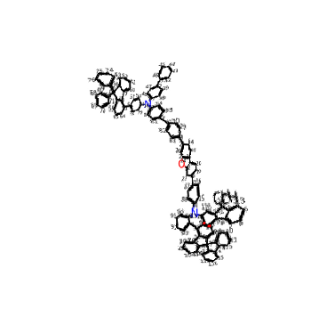 CC1(C)c2ccccc2-c2ccc(N(c3ccc(-c4ccc5c(c4)oc4cc(-c6ccc(-c7ccc(N(c8ccc(-c9ccccc9)cc8)c8ccc(-c9cccc%10c9-c9ccccc9C%10(c9ccccc9)c9ccccc9)cc8)cc7)cc6)ccc45)cc3)c3ccccc3-c3cccc4c3-c3ccccc3C43c4ccccc4-c4ccccc43)cc21